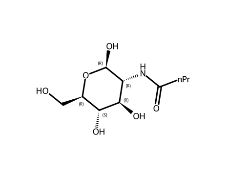 CCCC(=O)N[C@@H]1[C@@H](O)[C@H](O)[C@@H](CO)O[C@H]1O